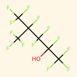 OC(F)(C(F)(F)F)C(F)(F)C(F)(C(F)(F)F)C(F)(F)F